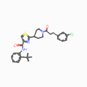 CC(C)(C)c1ccccc1NC(=O)c1csc(C2CCN(C(=O)CCc3cccc(Cl)c3)CC2)n1